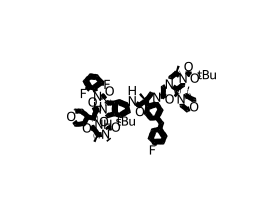 C[C@@H]1COCCN1C[C@H]1CN(C(=O)OC(C)(C)C)[C@H](C)CN1CC(=O)N1C[C@@](C)(C(=O)Nc2ccc3c(c2)[C@@H](C(=O)Nc2c(F)cccc2F)N(C(=O)[C@@H](NC(=O)[C@H](C)N(C)C(=O)OC(C)(C)C)C2CCOCC2)C3)c2ccc(Cc3ccc(F)cc3)cc21